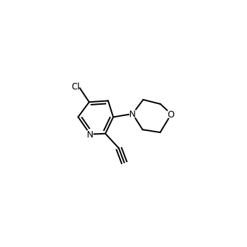 C#Cc1ncc(Cl)cc1N1CCOCC1